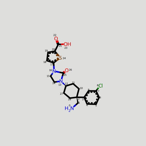 NC[C@]1(c2cccc(Cl)c2)CC[C@H](N2CCN(c3ccc(C(=O)O)s3)C2=O)CC1